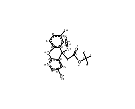 CC(C)(C)OC(=O)CC1(N=[N+]=[N-])c2cc(I)ccc2Oc2ncc(Br)cc21